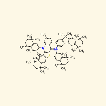 Cc1cc(-c2cc3c(cc2Nc2ccc4c(c2)C(C)(C)CCC4(C)C)-c2cc4c(cc2C3(C)C)C(C)(C)CCC4(C)C)c2c(c1)N(c1cc3c(cc1C)C(C)(C)CCC3(C)C)c1c(sc3cc4c(cc13)C(C)(C)CCC4(C)C)B2